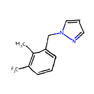 Cc1c(Cn2c[c]cn2)cccc1C(F)(F)F